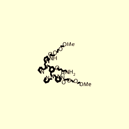 COCCOCCOCC(=O)Nc1cccc(CN(Cc2cc(CN(Cc3ccccn3)Cc3cccc(NC(=O)COCCOCCOC)n3)cc(OCCCCN)c2)Cc2ccccn2)n1